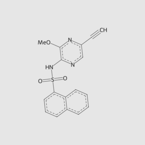 C#Cc1cnc(NS(=O)(=O)c2cccc3ccccc23)c(OC)n1